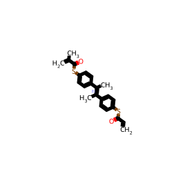 C=CC(=O)Sc1ccc(/C(C)=C(\C)c2ccc(SC(=O)C(=C)C)cc2)cc1